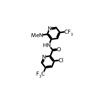 CNc1ncc(C(F)(F)F)cc1NC(=O)c1ncc(C(F)(F)F)cc1Cl